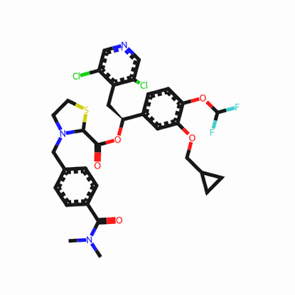 CN(C)C(=O)c1ccc(CN2CCSC2C(=O)O[C@@H](Cc2c(Cl)cncc2Cl)c2ccc(OC(F)F)c(OCC3CC3)c2)cc1